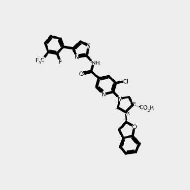 O=C(Nc1nc(-c2cccc(C(F)(F)F)c2F)cs1)c1cnc(N2C[C@H](C(=O)O)[C@@H](C3Cc4ccccc4O3)C2)c(Cl)c1